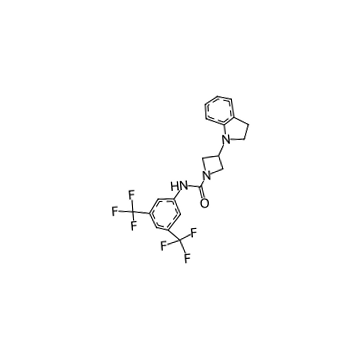 O=C(Nc1cc(C(F)(F)F)cc(C(F)(F)F)c1)N1CC(N2CCc3ccccc32)C1